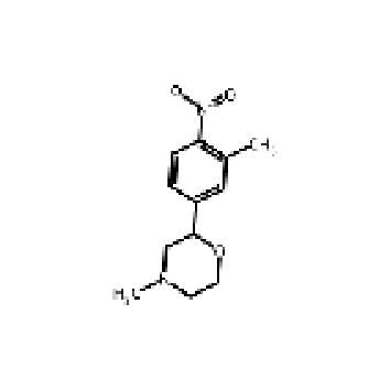 Cc1cc(C2CN(C)CCO2)ccc1[N+](=O)[O-]